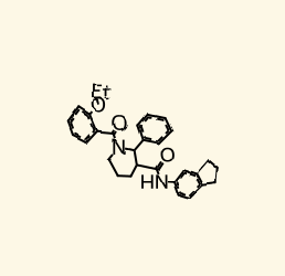 CCOc1ccccc1C(=O)N1CCCC(C(=O)Nc2ccc3c(c2)CCC3)C1c1ccccc1